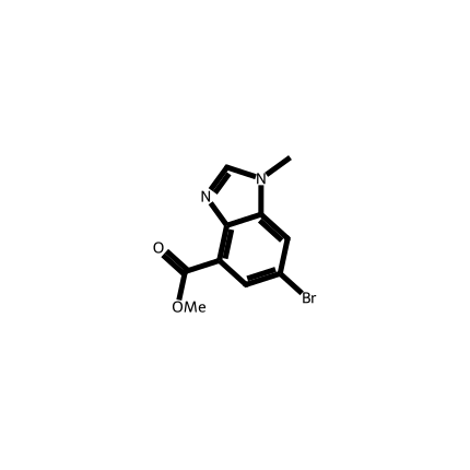 COC(=O)c1cc(Br)cc2c1ncn2C